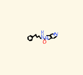 O=C(NCCCCc1ccccc1)N1Cc2ccncc2C1